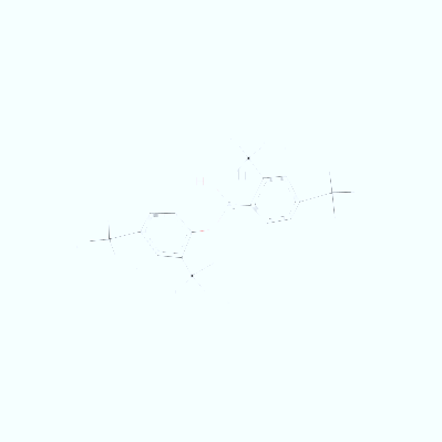 CC(C)(C)c1ccc([O][Al]([OH])[c]2ccc(C(C)(C)C)cc2C(C)(C)C)c(C(C)(C)C)c1